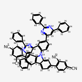 N#Cc1ccc(-c2ccc3c4ccc(-c5ccc(C#N)cc5C#N)cc4n(-c4ccc(-c5cc(-c6ccccc6)nc(-c6ccccc6)n5)cc4-c4cc(-c5ccccc5)nc(-c5ccccc5)n4)c3c2)c(C#N)c1